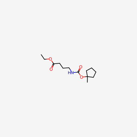 CCOC(=O)CCCNC(=O)OC1(C)CCCC1